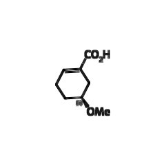 CO[C@H]1CCC=C(C(=O)O)C1